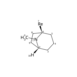 CN1[C@@H]2CCC[C@@]1([Re])CC2